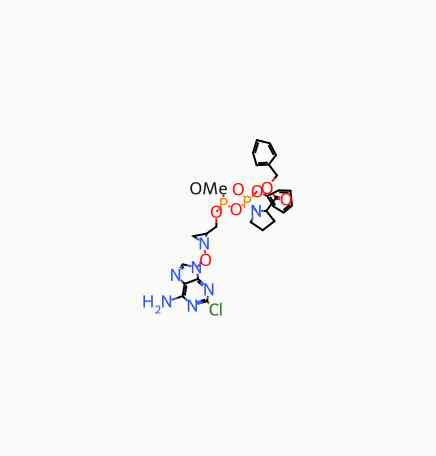 COP(OCC1CN1On1cnc2c(N)nc(Cl)nc21)OP(=O)(Oc1ccccc1)N1CCCC1C(=O)OCc1ccccc1